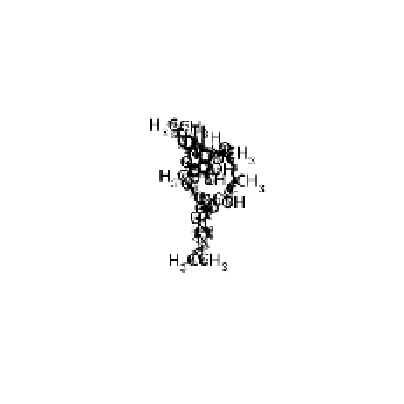 C/C1=C/C=C/C(C)CCC(O)CC(OC(=O)CC(=O)N2CCN(CCN(C)C)CC2)CC/C=C/O[C@@]2(C)Oc3c(C)c(O)c4c(c3C2=O)C2=NC3(CCN(CC(C)C)CC3)NC2=C(NC1=O)C4=O